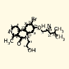 Cc1nccc2c1c(=O)n(CCO)c1cc(OC[C@@H](N)CC(C)C)c(Br)cc21